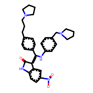 O=C1Nc2ccc([N+](=O)[O-])cc2C1=C(Nc1ccc(CN2CCCC2)cc1)c1ccc(CCCN2CCCC2)cc1